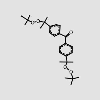 CC(C)(C)OOC(C)(C)c1ccc(C(=O)c2ccc(C(C)(C)OOC(C)(C)C)cc2)cc1